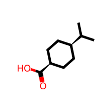 CC(C)[C@H]1CC[C@@H](C(=O)O)CC1